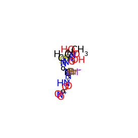 CSc1c2sc(C3=C(C(=O)O)N4C(=O)[C@H]([C@@H](C)O)[C@H]4[C@H]3C)c[n+]2cn1Cc1cccc(C[N+]23CC[N+](CCCNC(=O)OCc4ccc([N+](=O)[O-])cc4)(CC2)CC3)c1.[Br-].[Br-].[I-]